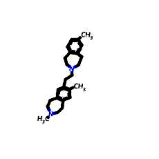 Cc1ccc2c(c1)CCN(CCc1cc3c(cc1C)CCN(C)CC3)CC2